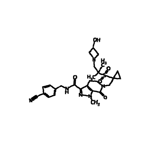 Cn1nc(C(=O)NCc2ccc(C#N)cc2)c2c1C(=O)N(CC1(S(=O)(=O)C(C)(C)CN3CC(O)C3)CC1)CC2